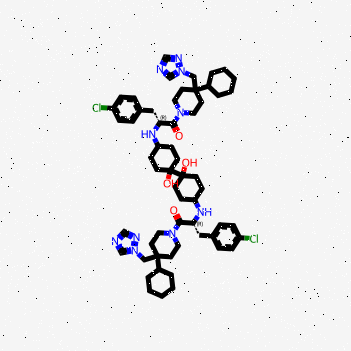 O=C([C@@H](Cc1ccc(Cl)cc1)NC1CCC(O)(C2(O)CCC(N[C@H](Cc3ccc(Cl)cc3)C(=O)N3CCC(Cn4cncn4)(C4CCCCC4)CC3)CC2)CC1)N1CCC(Cn2cncn2)(C2CCCCC2)CC1